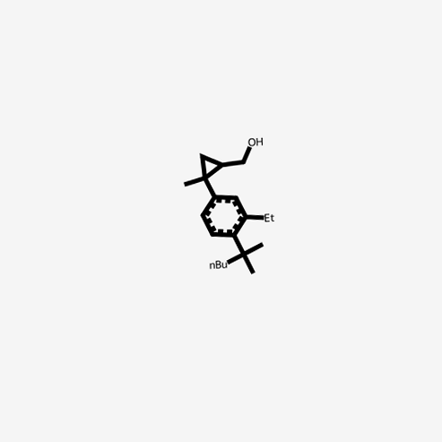 CCCCC(C)(C)c1ccc(C2(C)CC2CO)cc1CC